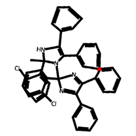 CC1(c2ccccc2Cl)NC(c2ccccc2)=C(c2ccccc2)N1C1(c2ccccc2Cl)N=C(c2ccccc2)C(c2ccccc2)=N1